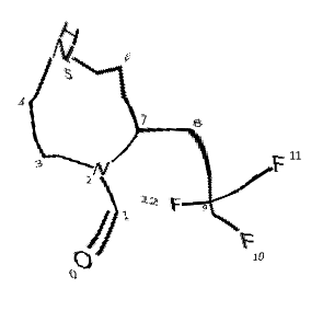 O=CN1CCNCC1CC(F)(F)F